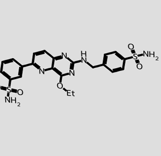 CCOc1nc(NCc2ccc(S(N)(=O)=O)cc2)nc2ccc(-c3cccc(S(N)(=O)=O)c3)nc12